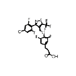 O=C(O)CCc1cc(F)c(OCc2c(-c3c(F)cc(Cl)cc3F)nsc2C(F)(F)F)c(F)c1